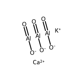 [Ca+2].[K+].[O]=[Al][O-].[O]=[Al][O-].[O]=[Al][O-]